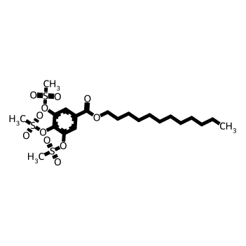 CCCCCCCCCCCCOC(=O)c1cc(OS(C)(=O)=O)c(OS(C)(=O)=O)c(OS(C)(=O)=O)c1